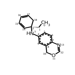 CC[C@]1(Nc2ccc3c(c2)COC=N3)C=CC=CC1